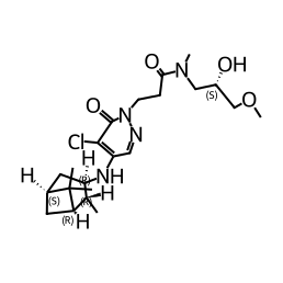 COC[C@@H](O)CN(C)C(=O)CCn1ncc(N[C@@H]2C[C@@H]3C[C@H]([C@H]2C)C3(C)C)c(Cl)c1=O